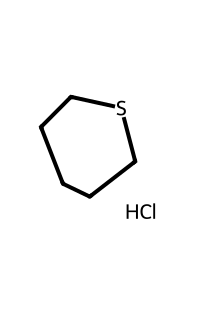 C1CCSCC1.Cl